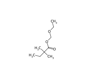 CCOCOC(=O)C(C)(C)CC